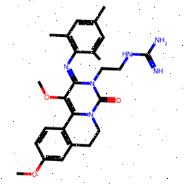 COc1ccc2c(c1)CCn1c-2c(OC)c(=Nc2c(C)cc(C)cc2C)n(CCNC(=N)N)c1=O